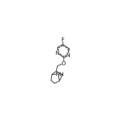 Fc1cnc(OCC2CC3CCC2N3)nc1